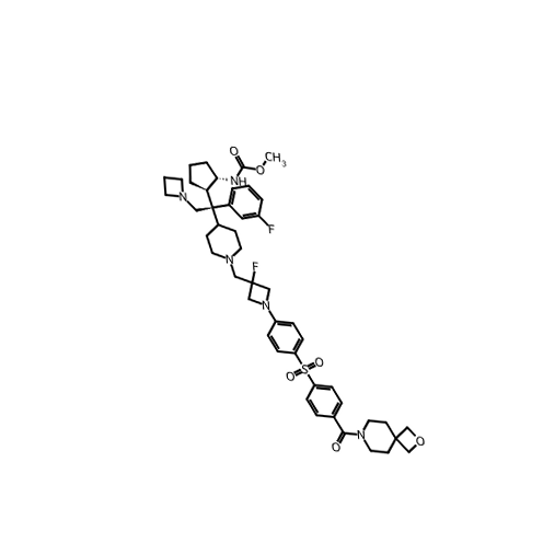 COC(=O)N[C@H]1CCC[C@@H]1[C@](CN1CCC1)(c1cccc(F)c1)C1CCN(CC2(F)CN(c3ccc(S(=O)(=O)c4ccc(C(=O)N5CCC6(CC5)COC6)cc4)cc3)C2)CC1